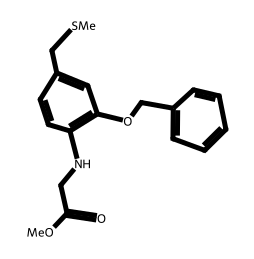 COC(=O)CNc1ccc(CSC)cc1OCc1ccccc1